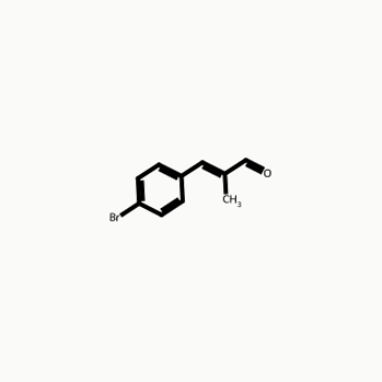 C/C(C=O)=C\c1ccc(Br)cc1